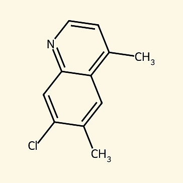 Cc1cc2c(C)ccnc2cc1Cl